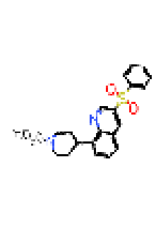 O=C(O)N1CCC(c2cccc3cc(S(=O)(=O)c4ccccc4)cnc23)CC1